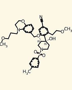 COCCCN1CCOc2ccc(CO[C@H]3CN(S(=O)(=O)c4ccc(C)cc4)CC[C@]3(O)c3ccc(C#N)cc3CCOC)cc21